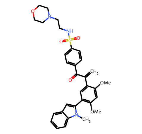 C=C(C(=O)c1ccc(S(=O)(=O)NCCN2CCOCC2)cc1)c1cc(-c2cc3ccccc3n2C)c(OC)cc1OC